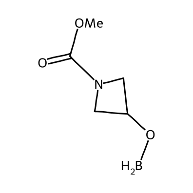 BOC1CN(C(=O)OC)C1